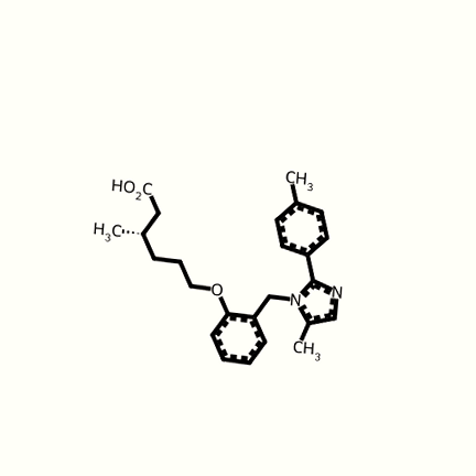 Cc1ccc(-c2ncc(C)n2Cc2ccccc2OCCC[C@H](C)CC(=O)O)cc1